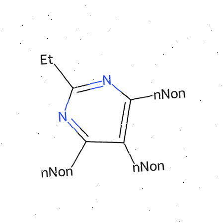 [CH2]Cc1nc(CCCCCCCCC)c(CCCCCCCCC)c(CCCCCCCCC)n1